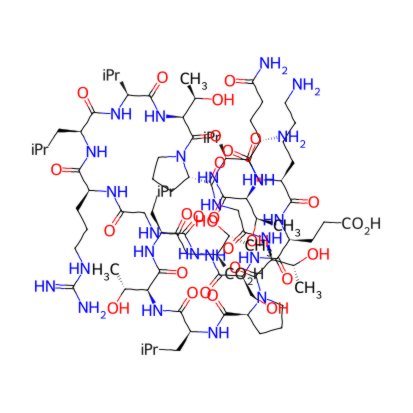 CC(C)C[C@H](NC(=O)[C@H](CCCNC(=N)N)NC(=O)CNC(=O)CNC(=O)[C@H](CO)NC(=O)[C@H](CCC(=O)O)NC(=O)[C@H](CCCCN)NC(=O)[C@@H](NC(=O)[C@@H](NC(=O)[C@@H](N)CCC(N)=O)[C@@H](C)O)C(C)C)C(=O)N[C@H](C(=O)N[C@H](C(=O)N1CCC[C@H]1C(=O)NCC(=O)N[C@H](C(=O)N1CCC[C@H]1C(=O)N[C@@H](CC(C)C)C(=O)N[C@H](C(=O)N[C@@H](CC(C)C)C(=O)N[C@H](C(=O)O)[C@@H](C)O)[C@@H](C)O)[C@@H](C)O)[C@@H](C)O)C(C)C